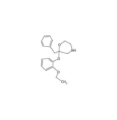 CCOc1ccccc1OC1(Cc2ccccc2)CNCCO1